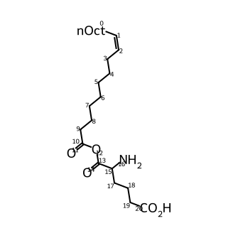 CCCCCCCC/C=C\CCCCCCCC(=O)OC(=O)C(N)CCCC(=O)O